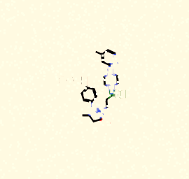 Cc1ccnc(N2CCN(CCCN3C(=O)CC(C)N3c3ccc(C(=O)O)cc3)CC2)c1.Cl.Cl